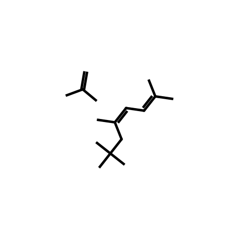 C=C(C)C.CC(C)=CC=C(C)CC(C)(C)C